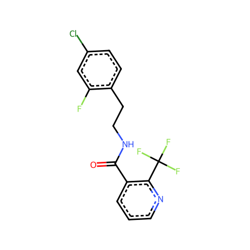 O=C(NCCc1ccc(Cl)cc1F)c1cccnc1C(F)(F)F